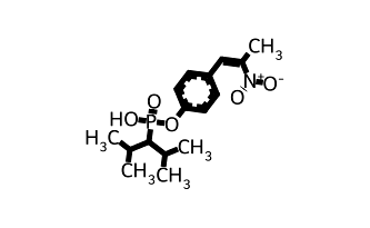 CC(=Cc1ccc(OP(=O)(O)C(C(C)C)C(C)C)cc1)[N+](=O)[O-]